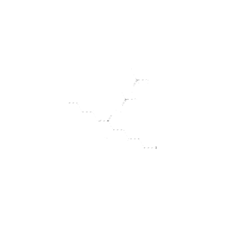 CCCCNC(=O)[C@@H](N)CCCCN.NC(=O)O.NC(=O)O